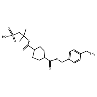 BCc1ccc(COC(=O)C2CCC(C(=O)OC(C)(C)CS(=O)(=O)O)CC2)cc1